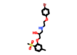 Cc1ccc(S(C)(=O)=O)c(OCC(O)CNCCOc2ccc(Br)cc2)c1